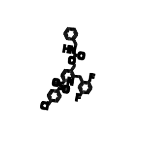 O=C(NCc1ccccc1)OCc1ccc(S(=O)(=O)c2ccc(Cl)cc2)nc1Cc1cc(F)ccc1F